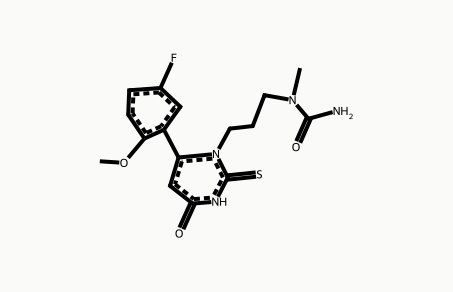 COc1ccc(F)cc1-c1cc(=O)[nH]c(=S)n1CCCN(C)C(N)=O